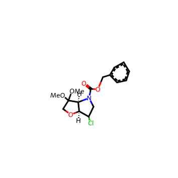 COC1(OC)CO[C@@H]2[C@H](Cl)CN(C(=O)OCc3ccccc3)[C@@H]21